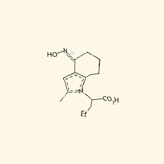 CCC(C(=O)O)n1c(C)cc2c1CCC/C2=N/O